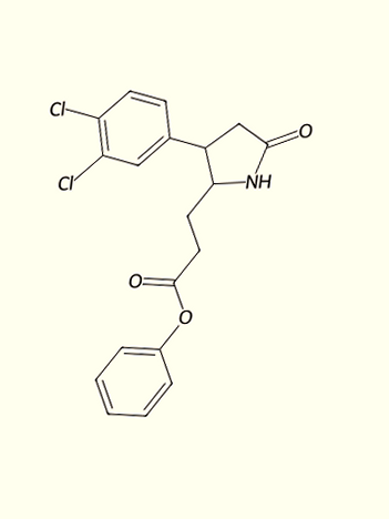 O=C1CC(c2ccc(Cl)c(Cl)c2)C(CCC(=O)Oc2ccccc2)N1